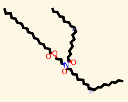 CCCCCCCC/C=C\CCCCCCCC(=O)N(CCCOC(=O)CCCCCCCCCCCCCCCCC)C(=O)CCCCCCC/C=C\CCCCCCCC